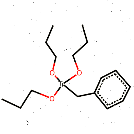 CCC[O][Ti]([CH2]c1ccccc1)([O]CCC)[O]CCC